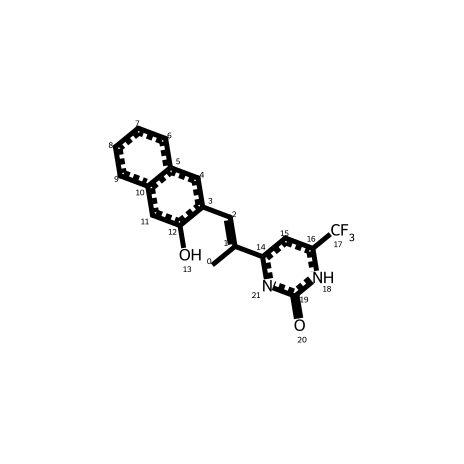 CC(=Cc1cc2ccccc2cc1O)c1cc(C(F)(F)F)[nH]c(=O)n1